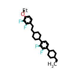 C=CC1CCC(c2ccc(C3CCC(CCc4ccc(OCC)c(F)c4F)CC3)c(F)c2F)CC1